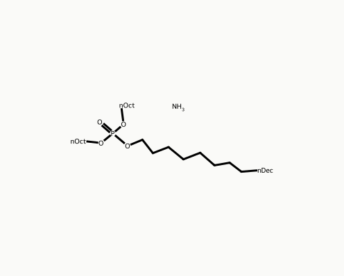 CCCCCCCCCCCCCCCCCCOP(=O)(OCCCCCCCC)OCCCCCCCC.N